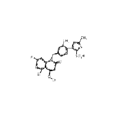 CCOc1cc(=O)n(Cc2ccc(-c3cc(C)sc3S(=O)(=O)O)c(C)c2)c2cc(CC)nc(CC)c12